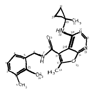 Cc1cccc(CNC(=O)c2c(C)oc3ncnc(NC4(C)CC4)c23)c1C